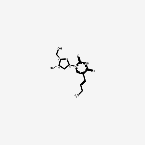 NCC=Cc1cn([C@H]2C[C@H](O)[C@@H](CO)O2)c(=O)[nH]c1=O